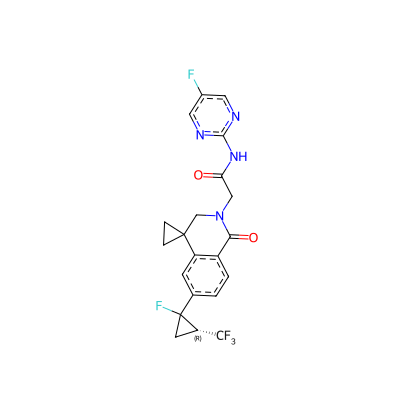 O=C(CN1CC2(CC2)c2cc(C3(F)C[C@H]3C(F)(F)F)ccc2C1=O)Nc1ncc(F)cn1